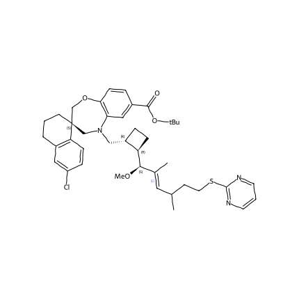 CO[C@H](/C(C)=C/C(C)CCSc1ncccn1)[C@@H]1CC[C@H]1CN1C[C@@]2(CCCc3cc(Cl)ccc32)COc2ccc(C(=O)OC(C)(C)C)cc21